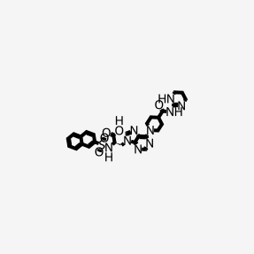 O=C(NC1=NCCCN1)C1CCN(c2ncnc3c2ncn3C[C@H](NS(=O)(=O)c2ccc3ccccc3c2)C(=O)O)CC1